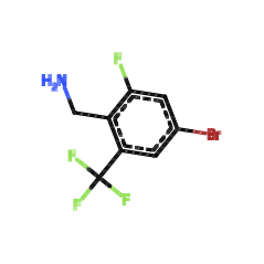 NCc1c(F)cc(Br)cc1C(F)(F)F